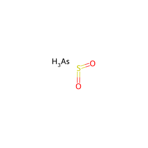 O=S=O.[AsH3]